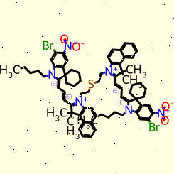 CCCCCN1/C(=C/C=C/C2=[N+](CCSCC[N+]3=C(/C=C/C=C4/N(CCCCC)c5cc(Br)c([N+](=O)[O-])cc5C45CCCCC5)C(C)(C)c4c3ccc3ccccc43)c3ccc4ccccc4c3C2(C)C)C2(CCCCC2)c2cc([N+](=O)[O-])c(Br)cc21